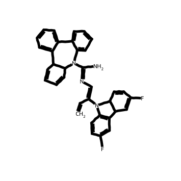 C=C/C(=C\N=C(/N)N1c2ccccc2-c2ccccc2C2C=CC=CC21)N1c2ccc(F)cc2C2C=C(F)C=CC21